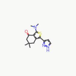 CN(C)c1sc(-c2cc[nH]n2)c2c1C(=O)CC(C)(C)C2